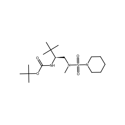 CN(C[C@@H](NC(=O)OC(C)(C)C)C(C)(C)C)S(=O)(=O)N1CCCCC1